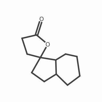 O=C1CCC2(CCC3CCCCC32)O1